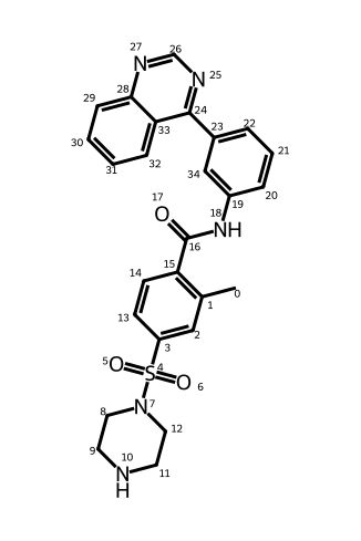 Cc1cc(S(=O)(=O)N2CCNCC2)ccc1C(=O)Nc1cccc(-c2ncnc3ccccc23)c1